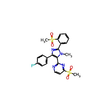 Cn1c(-c2ccccc2S(C)(=O)=O)nc(-c2ccc(F)cc2)c1-c1nccc(S(C)(=O)=O)n1